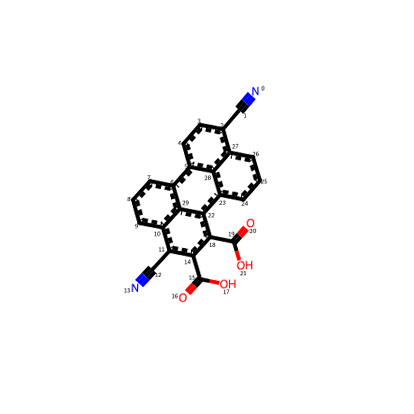 N#Cc1ccc2c3cccc4c(C#N)c(C(=O)O)c(C(=O)O)c(c5cccc1c25)c43